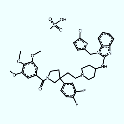 COc1cc(C(=O)N2CCC(CCN3CCC(Nc4nc5ccccc5n4Cc4ccc(Cl)s4)CC3)(c3ccc(F)c(F)c3)C2)cc(OC)c1OC.CS(=O)(=O)O